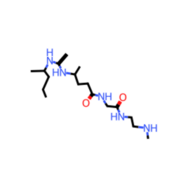 C=C(NC(C)CCC)NC(C)CCC(=O)NCC(=O)NCCNC